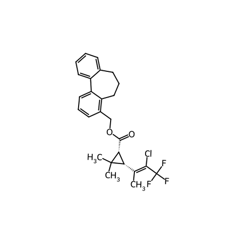 CC(=C(Cl)C(F)(F)F)[C@H]1[C@@H](C(=O)OCc2cccc3c2CCCc2ccccc2-3)C1(C)C